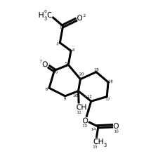 CC(=O)CCC1C(=O)CCC2(C)C(OC(C)=O)CCCC12